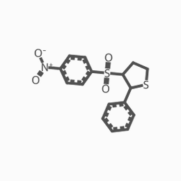 O=[N+]([O-])c1ccc(S(=O)(=O)C2CCSC2c2ccccc2)cc1